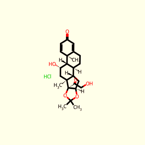 CC1(C)O[C@@H]2C[C@H]3[C@@H]4CCC5=CC(=O)C=C[C@]5(C)[C@H]4[C@@H](O)C[C@]3(C)[C@]2(C(=O)CO)O1.Cl